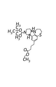 CCOC(=O)CCCc1cc2c3c(c1)[C@@H]1CN(C(=O)OC(C)(C)C)CC[C@@H]1N3CCCS2